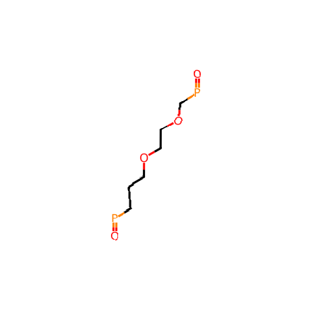 O=PCCCOCCOCP=O